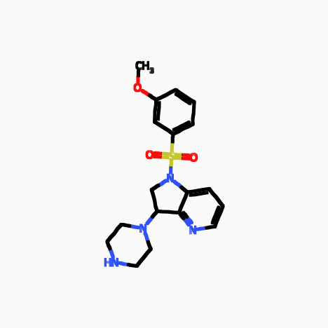 COc1cccc(S(=O)(=O)N2CC(N3CCNCC3)c3ncccc32)c1